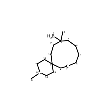 BC1(C)CCCCCCC2(CCN(C)CC2)CC1